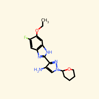 CCOc1cc2[nH]c(-c3nn(C4CCCCO4)cc3N)nc2cc1F